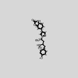 CC(C)(C)[C@H](CC(Cc1ccc(Cl)cc1)NC(=O)O)n1cc(-c2ccc3[nH]c(=O)oc3c2)cn1